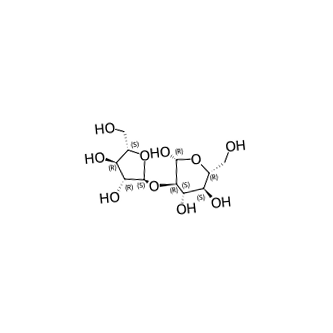 OC[C@@H]1O[C@@H](O[C@@H]2[C@@H](O)[C@H](O)[C@@H](CO)O[C@H]2O)[C@H](O)[C@H]1O